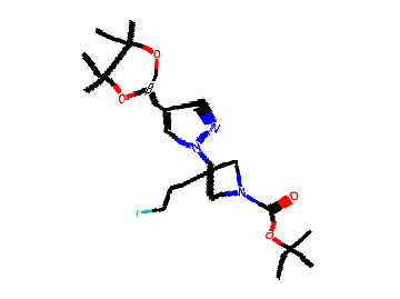 CC(C)(C)OC(=O)N1CC(CCF)(n2cc(B3OC(C)(C)C(C)(C)O3)cn2)C1